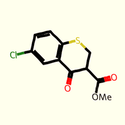 COC(=O)C1CSc2ccc(Cl)cc2C1=O